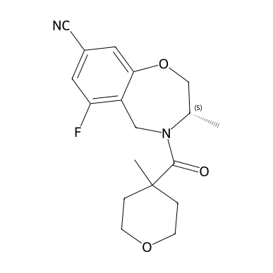 C[C@H]1COc2cc(C#N)cc(F)c2CN1C(=O)C1(C)CCOCC1